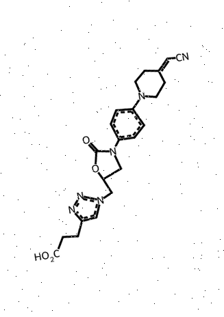 N#CC=C1CCN(c2ccc(N3CC(Cn4cc(CCC(=O)O)nn4)OC3=O)cc2)CC1